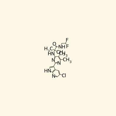 Cc1nc(-c2c[nH]c3ncc(Cl)cc23)nc(NC(C)(C)C(=O)NCC(F)F)c1C